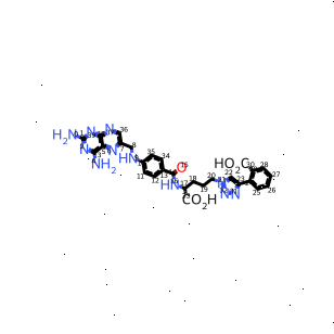 Nc1nc(N)c2nc(CNc3ccc(C(=O)NC(CCCn4cc(-c5ccccc5C(=O)O)nn4)C(=O)O)cc3)cnc2n1